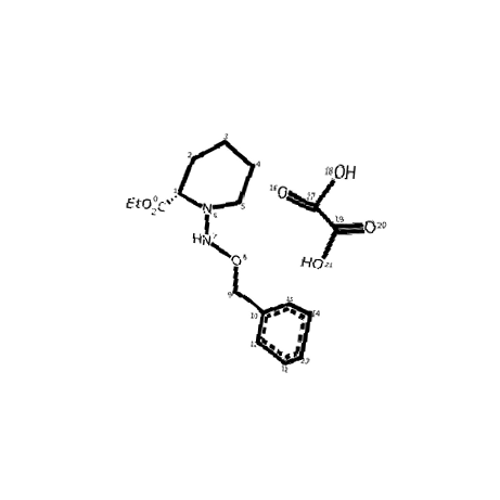 CCOC(=O)[C@@H]1CCCCN1NOCc1ccccc1.O=C(O)C(=O)O